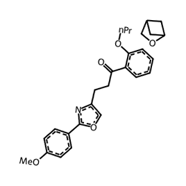 C1OC2CC1C2.CCCOc1ccccc1C(=O)CCc1coc(-c2ccc(OC)cc2)n1